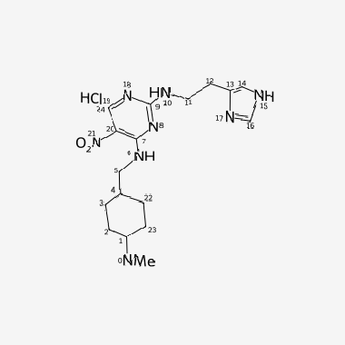 CNC1CCC(CNc2nc(NCCc3c[nH]cn3)ncc2[N+](=O)[O-])CC1.Cl